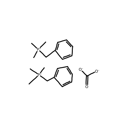 C[P+](C)(C)Cc1ccccc1.C[P+](C)(C)Cc1ccccc1.O=C([O-])[O-]